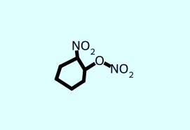 O=[N+]([O-])OC1CCCCC1[N+](=O)[O-]